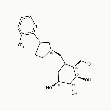 OC[C@H]1[C@@H](O)[C@H](O)[C@@H](O)CN1C[C@H]1CCN(c2ncccc2C(F)(F)F)C1